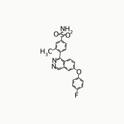 Cc1cc(S(N)(=O)=O)ccc1-c1nncc2cc(Oc3ccc(F)cc3)ccc12